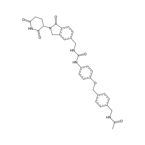 CC(=O)NCc1ccc(COc2ccc(NC(=O)NCc3ccc4c(c3)CN(C3CCC(=O)NC3=O)C4=O)cc2)cc1